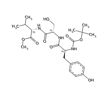 COC(=O)[C@@H](NC(=O)[C@H](CO)NC(=O)[C@H](Cc1ccc(O)cc1)NC(=O)OC(C)(C)C)C(C)C